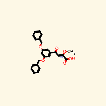 CO/C(=C\C(=O)c1cc(OCc2ccccc2)cc(OCc2ccccc2)c1)C(=O)O